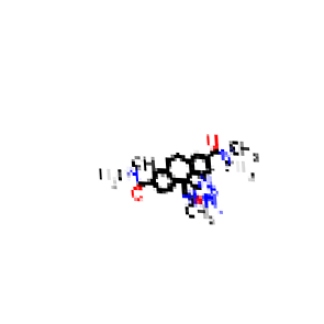 C[C@@H](N)CC1(c2nnn[nH]2)c2ccc(C(=O)N(C)C)cc2CCc2cc(C(=O)N(C)C)ccc21